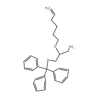 C=CCCCCOC(CC)COC(c1ccccc1)(c1ccccc1)c1ccccc1